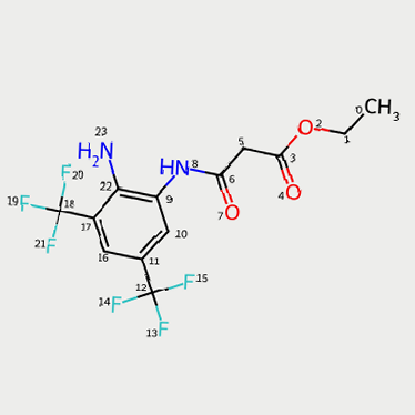 CCOC(=O)CC(=O)Nc1cc(C(F)(F)F)cc(C(F)(F)F)c1N